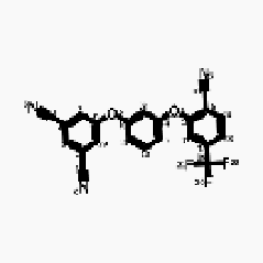 N#Cc1cc(C#N)cc(Oc2cccc(Oc3cc(C(F)(F)F)ccc3C#N)c2)c1